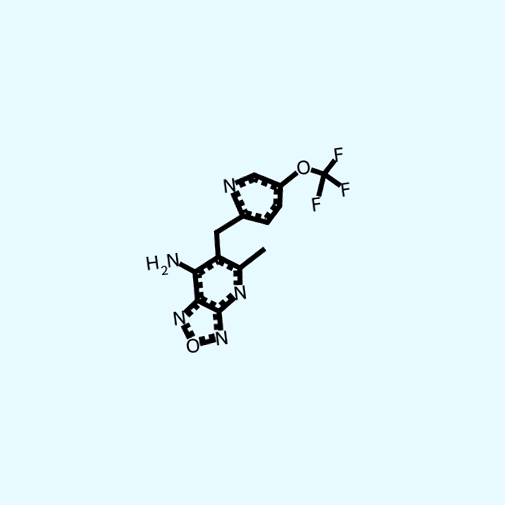 Cc1nc2nonc2c(N)c1Cc1ccc(OC(F)(F)F)cn1